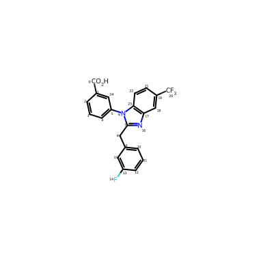 O=C(O)c1cccc(-n2c(Cc3cccc(F)c3)nc3cc(C(F)(F)F)ccc32)c1